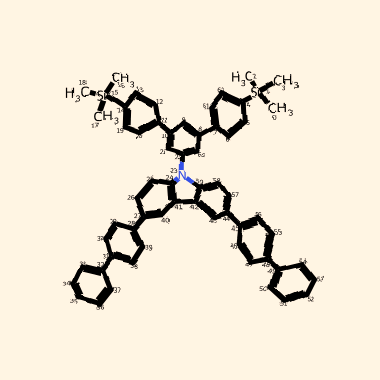 C[Si](C)(C)c1ccc(-c2cc(-c3ccc([Si](C)(C)C)cc3)cc(-n3c4ccc(-c5ccc(-c6ccccc6)cc5)cc4c4cc(-c5ccc(-c6ccccc6)cc5)ccc43)c2)cc1